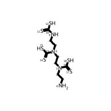 NCCN(CCN(CCNC(=S)S)C(=S)S)C(=S)S